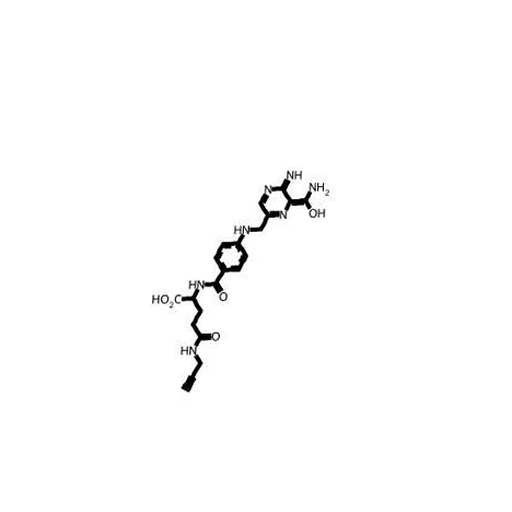 C#CCNC(=O)CCC(NC(=O)c1ccc(NCC2=N/C(=C(/N)O)C(=N)N=C2)cc1)C(=O)O